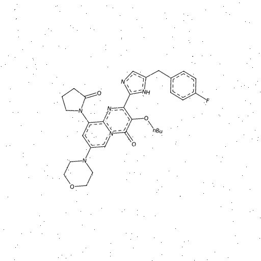 CCCCOc1c(-c2ncc(Cc3ccc(F)cc3)[nH]2)nc2c(N3CCCC3=O)cc(N3CCOCC3)cn2c1=O